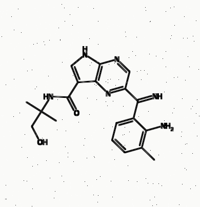 Cc1cccc(C(=N)c2cnc3[nH]cc(C(=O)NC(C)(C)CO)c3n2)c1N